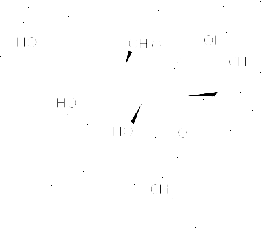 CCO[C@@](CC)(C(=O)O)[C@@H](O)[C@H](O)[C@H](O)CO